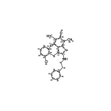 Cn1c(=O)c2c(nc(NCCc3ccccc3)n2Cc2c(F)cccc2Cl)n(C)c1=O